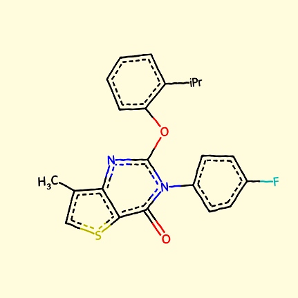 Cc1csc2c(=O)n(-c3ccc(F)cc3)c(Oc3ccccc3C(C)C)nc12